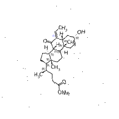 C/C=C1/C(=O)[C@@H]2[C@H](CC[C@]3(C)[C@@H]([C@H](C)CCC(=O)OC)CC[C@@H]23)[C@@]2(C)CC[C@@H](O)C[C@@H]12